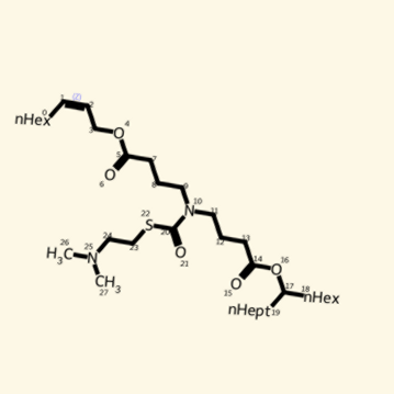 CCCCCC/C=C\COC(=O)CCCN(CCCC(=O)OC(CCCCCC)CCCCCCC)C(=O)SCCN(C)C